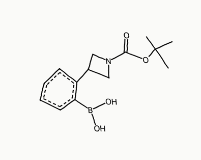 CC(C)(C)OC(=O)N1CC(c2ccccc2B(O)O)C1